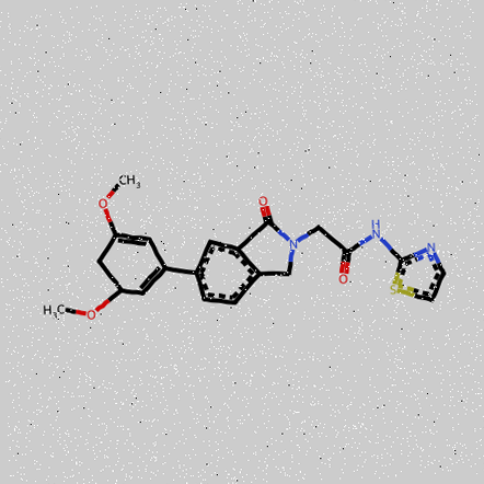 COC1=CC(c2ccc3c(c2)C(=O)N(CC(=O)Nc2nccs2)C3)=CC(OC)C1